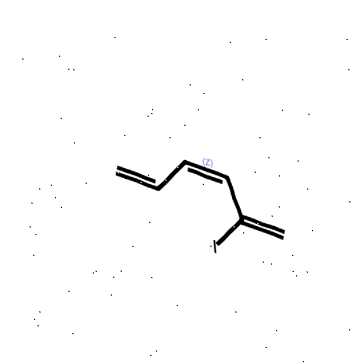 C=C/C=C\C(=C)I